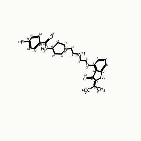 CC(C)=C1Oc2cccc(OCCNCCN3CCC(NC(=O)c4ccc(F)cc4)CC3)c2C1=O